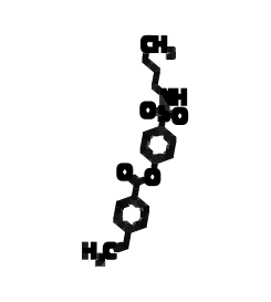 C=Cc1ccc(C(=O)Oc2ccc(S(=O)(=O)NCCCC)cc2)cc1